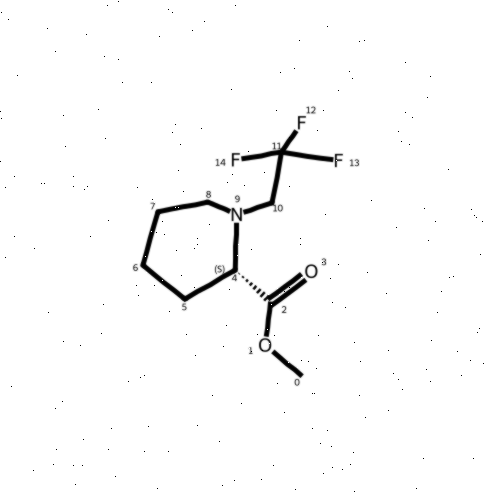 COC(=O)[C@@H]1CCCCN1CC(F)(F)F